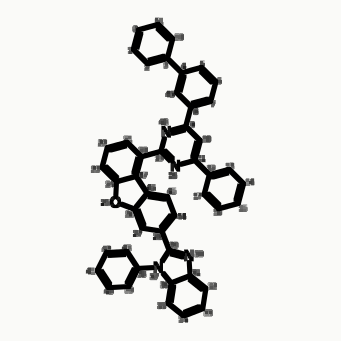 c1ccc(-c2cccc(-c3cc(-c4ccccc4)nc(-c4cccc5oc6cc(-c7nc8ccccc8n7-c7ccccc7)ccc6c45)n3)c2)cc1